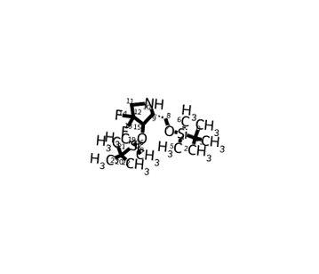 CC(C)(C)[Si](C)(C)OC[C@H]1NCC(F)(F)C1O[Si](C)(C)C(C)(C)C